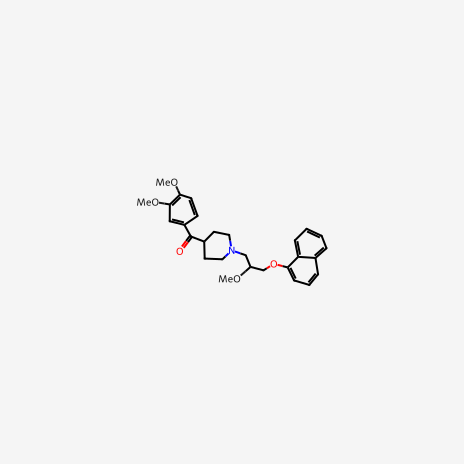 COc1ccc(C(=O)C2CCN(CC(COc3cccc4ccccc34)OC)CC2)cc1OC